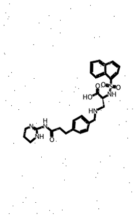 O=C(CCc1ccc(CNC[C@H](NS(=O)(=O)c2cccc3ccccc23)C(=O)O)cc1)NC1=NCCCN1